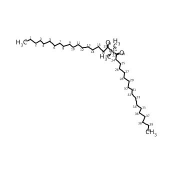 CCCCCCCCCCCCCCCCCC(=O)[N+](C)(C)C(=O)CCCCCCCCCCCCCCCCC